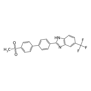 CS(=O)(=O)c1ccc(-c2ccc(-c3nc4cc(C(F)(F)F)ccc4[nH]3)cc2)cc1